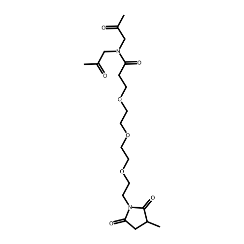 CC(=O)CN(CC(C)=O)C(=O)CCOCCOCCOCCN1C(=O)CC(C)C1=O